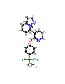 CC(F)(F)c1ccc(Oc2ncccc2-c2cccc3ccnn23)cc1